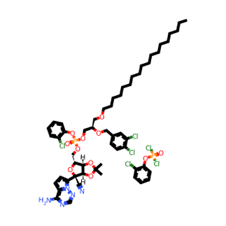 CCCCCCCCCCCCCCCCCCOC[C@H](COP(=O)(OC[C@H]1O[C@@](C#N)(c2ccc3c(N)ncnn23)[C@@H]2OC(C)(C)O[C@@H]21)Oc1ccccc1Cl)OCc1ccc(Cl)c(Cl)c1.O=P(Cl)(Cl)Oc1ccccc1Cl